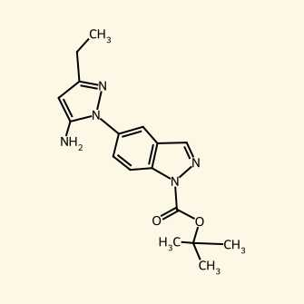 CCc1cc(N)n(-c2ccc3c(cnn3C(=O)OC(C)(C)C)c2)n1